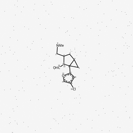 CNCC1CC2CC2(c2cc(Cl)co2)N1C=O